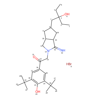 Br.CCC(O)(CC)CC1CC2CN(CC(=O)c3cc(C(C)(C)C)c(O)c(C(C)(C)C)c3)C(=N)C2C1